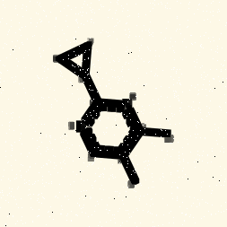 Cc1cnc(C2CC2)nc1C